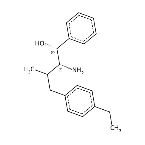 CCc1ccc(CC(C)[C@@H](N)[C@H](O)c2ccccc2)cc1